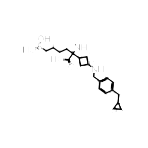 NC(CCCCB(O)O)(C(=O)O)C1CC(NCc2ccc(CC3CC3)cc2)C1